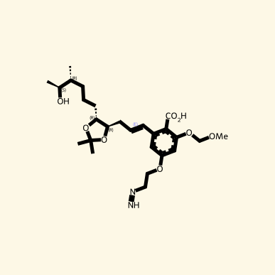 COCOc1cc(OCCN=N)cc(/C=C/C[C@H]2OC(C)(C)O[C@@H]2CCC[C@@H](C)[C@H](C)O)c1C(=O)O